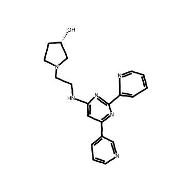 O[C@H]1CCN(CCNc2cc(-c3cccnc3)nc(-c3ccccn3)n2)C1